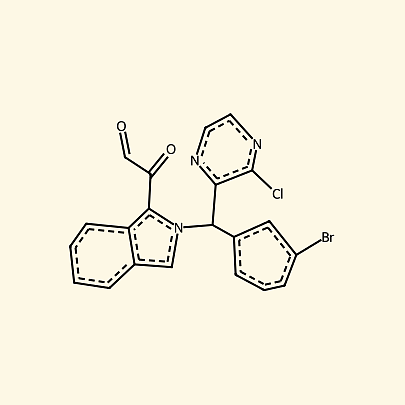 O=CC(=O)c1c2ccccc2cn1C(c1cccc(Br)c1)c1nccnc1Cl